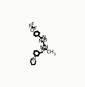 Cc1nc(-c2nc(-c3ccc(OC(F)(F)F)cc3)no2)nn1Cc1cccc(N2CCCCC2)c1